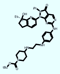 CC[C@@]1(O)CCc2ccc(-n3c4nc(Nc5ccc(NCCNC6CCN(C(=O)OC(C)(C)C)CC6)cc5)ncc4c(=O)n3C(C)C)nc21